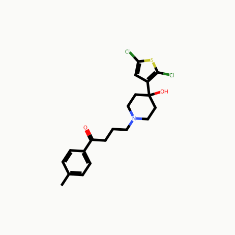 Cc1ccc(C(=O)CCCN2CCC(O)(c3cc(Cl)sc3Cl)CC2)cc1